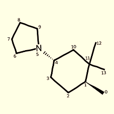 C[C@H]1CC[C@H](N2CCCC2)CC1(C)C